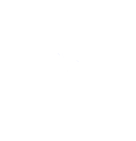 COC(=O)c1ccc(C)c(S(N)(=O)=O)c1C#N